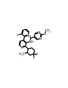 COc1ncc(C(=O)Nc2c(-c3ncccc3F)ccnc2C2CCC(F)(F)CC2C)cn1